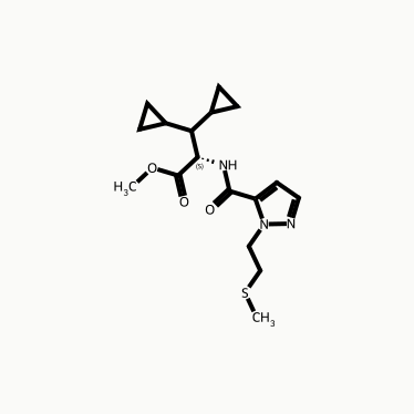 COC(=O)[C@@H](NC(=O)c1ccnn1CCSC)C(C1CC1)C1CC1